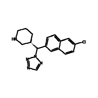 Clc1ccc2cc(C([C@H]3CCCNC3)n3ncnn3)ccc2c1